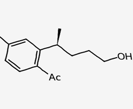 CC(=O)c1ccc(F)cc1[C@@H](C)CCCO